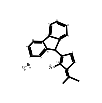 CC(C)=C1C=CC(C2c3ccccc3-c3ccccc32)=[C]1[Zr+2].[Br-].[Br-]